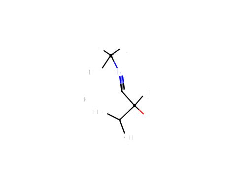 CC(C)C(C)([O-])C=NC(C)(C)C.[K+]